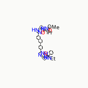 CCN[C@@H](C(=O)N1CCC[C@H]1c1ncc(-c2ccc(-c3ccc4cc(-c5c[nH]c([C@@H]6CCCN6C(=O)[C@@H](NC(=O)OC)C(C)C)n5)ccc4c3)cc2)[nH]1)c1ccccc1